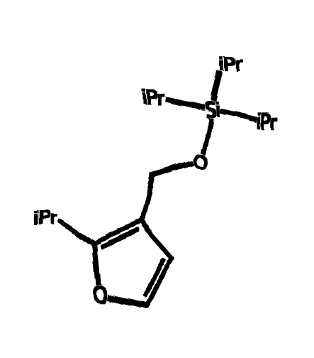 CC(C)c1occc1CO[Si](C(C)C)(C(C)C)C(C)C